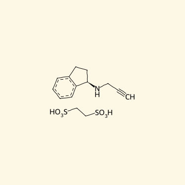 C#CCN[C@@H]1CCc2ccccc21.O=S(=O)(O)CCS(=O)(=O)O